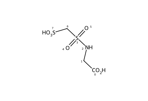 O=C(O)CNS(=O)(=O)CS(=O)(=O)O